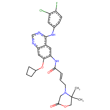 CC1(C)COC(=O)CN1CC=CC(=O)Nc1cc2c(Nc3ccc(F)c(Cl)c3)ncnc2cc1OC1CCC1